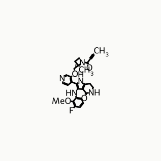 CC#CC(=O)N1CC[C@@]1(C)COc1cnccc1-c1[nH]c2c(c1Nc1cccc(F)c1OC)C(=O)NCC2